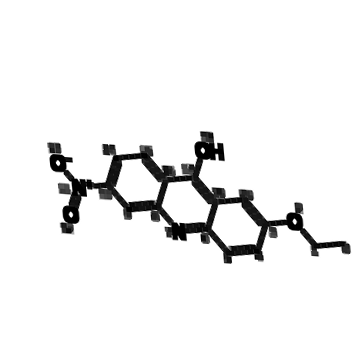 CCOc1ccc2nc3cc([N+](=O)[O-])ccc3c(O)c2c1